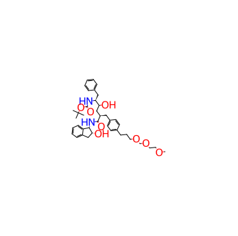 COCCOCOCCCc1ccc(C[C@H](C[C@H](O)[C@H](Cc2ccccc2)NC(=O)OC(C)(C)C)C(=O)N[C@H]2c3ccccc3C[C@H]2O)cc1